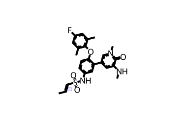 C/C=C/S(=O)(=O)Nc1ccc(Oc2c(C)cc(F)cc2C)c(-c2cc(NC)c(=O)n(C)c2)c1